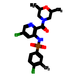 CC1CN(C(=O)c2ncc(Cl)cc2NS(=O)(=O)c2ccc(Cl)c(C(F)(F)F)c2)CC(C)O1